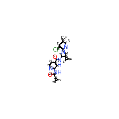 O=C(N[C@H]1CN(c2ncc(C(F)(F)F)cc2Cl)CC12CC2)c1ccnc(NC(=O)C2CC2)c1